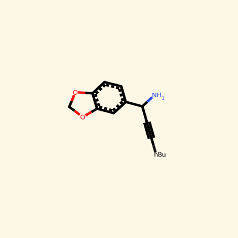 CCCCC#CC(N)c1ccc2c(c1)OCO2